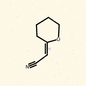 N#C/C=C1\CCCCO1